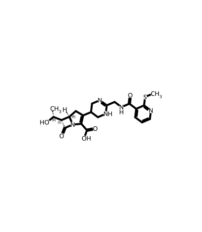 CSc1ncccc1C(=O)NCC1=NCC(C2=C(C(=O)O)N3C(=O)[C@H]([C@@H](C)O)[C@H]3C2)CN1